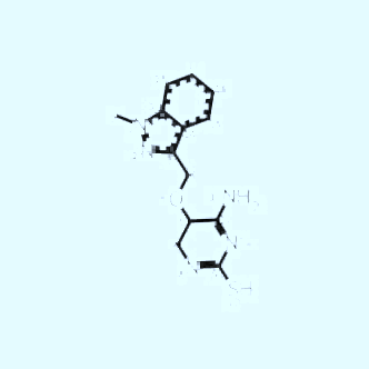 Cn1nc(COC2CN=C(S)N=C2N)c2ccccc21